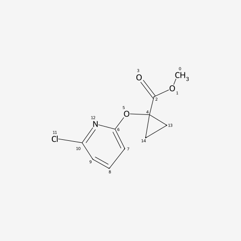 COC(=O)C1(Oc2cccc(Cl)n2)CC1